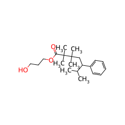 CC(C)C(CC(C)(C)C(C)(C)C(=O)OCCCO)c1ccccc1